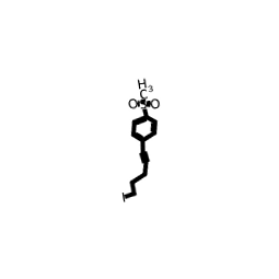 CS(=O)(=O)c1ccc(C#CCCCI)cc1